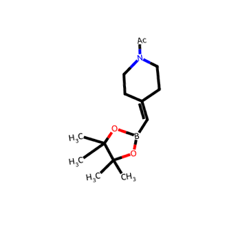 CC(=O)N1CCC(=CB2OC(C)(C)C(C)(C)O2)CC1